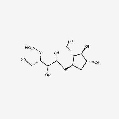 O=S(=O)(O)O[C@@H](CO)[C@@H](O)[C@H](O)C[C@@H]1C[C@@H](O)[C@H](O)[C@H]1CO